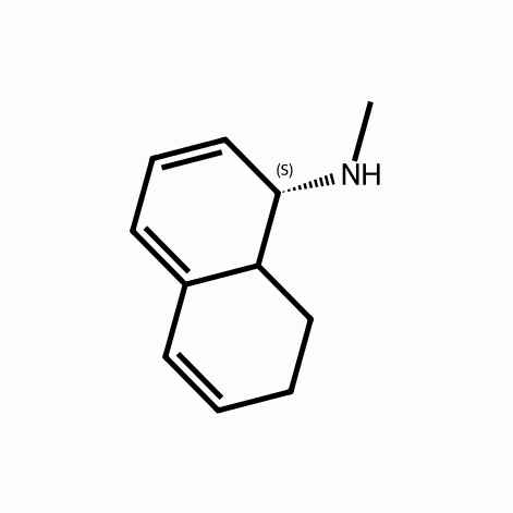 CN[C@H]1C=CC=C2C=CCCC21